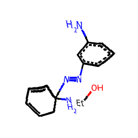 CCO.Nc1cccc(N=NC2(N)C=CC=CC2)c1